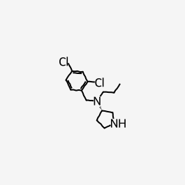 CCCN(Cc1ccc(Cl)cc1Cl)[C@H]1CCNC1